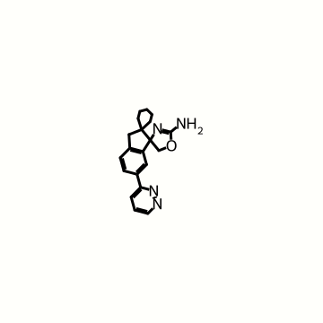 NC1=NC2(CO1)c1cc(-c3cccnn3)ccc1CC21CCCCC1